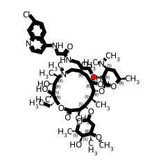 CC[C@H]1OC(=O)[C@H](C)[C@@H](OC2C[C@@](C)(OC)[C@@H](O)[C@H](C)O2)[C@H](C)[C@@H](O[C@@H]2O[C@H](C)C[C@H](N(C)C)[C@H]2OCCCNC(=O)CNc2ccnc3cc(Cl)ccc23)[C@](C)(O)C[C@@H](C)CN(C)[C@H](C)[C@@H](O)[C@]1(C)O